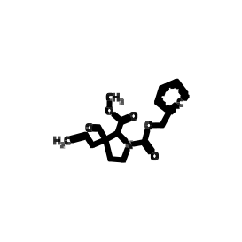 C=CCC1(C=O)CCN(C(=O)OCc2ccccc2)C1C(=O)OC